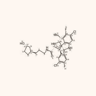 CC(C)(C)C[C@H]1N[C@@H](C(=O)NCCC[C@H]2CC[C@H](O)C2)[C@H](c2ccc(F)c(Cl)c2)[C@@]12C(=O)Nc1cc(Cl)c(F)cc12